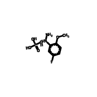 COc1ccc(F)cc1NN.O=P(O)(O)O